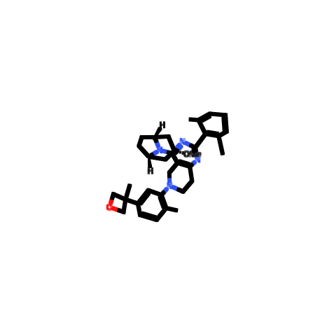 CO[C@H]1C[C@H]2CC[C@@H](C1)N2c1nc(-c2c(C)cccc2C)nc2c1CN(c1cc(C3(C)COC3)ccc1C)CC2